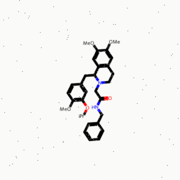 COc1cc2c(cc1OC)C(Cc1ccc(OC)c(OC(C)C)c1)N(CC(=O)NCc1ccccc1)CC2